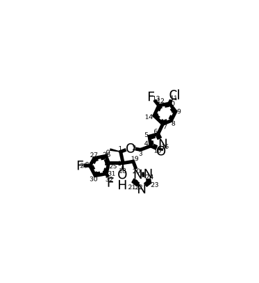 C[C@@H](OCc1cc(-c2ccc(Cl)c(F)c2)no1)[C@](O)(Cn1cncn1)c1ccc(F)cc1F